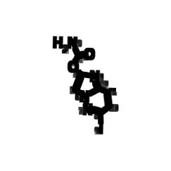 NC(=O)Oc1cn2nc(I)ccc2n1